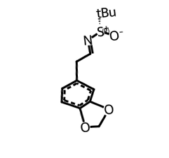 CC(C)(C)[S@+]([O-])N=CCc1ccc2c(c1)OCO2